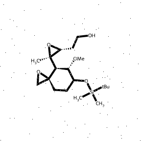 CO[C@@H]1C(O[Si](C)(C)C(C)(C)C)CC[C@]2(CO2)[C@H]1[C@@]1(C)O[C@@H]1CCO